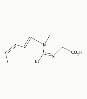 C/C=C\C=C\N(C)/C(CC)=N\CC(=O)O